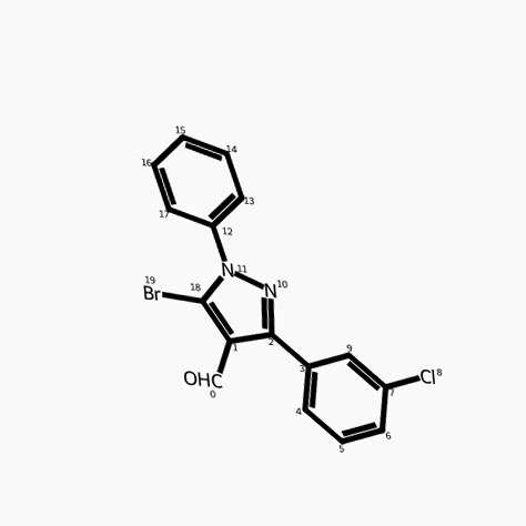 O=Cc1c(-c2cccc(Cl)c2)nn(-c2ccccc2)c1Br